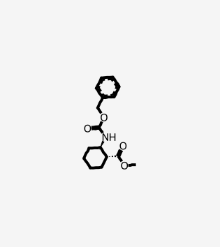 COC(=O)[C@@H]1CCCC[C@H]1NC(=O)OCc1ccccc1